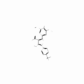 CCc1c(-c2ccc(C(F)(F)F)cc2)[nH]c(-c2cc(OC)c(OC)c(OC)c2)c1C(N)=O